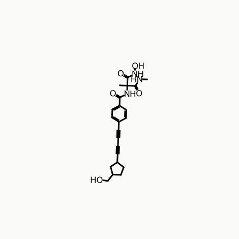 CNC(=O)C(C)(NC(=O)c1ccc(C#CC#CC2CCC(CO)C2)cc1)C(=O)NO